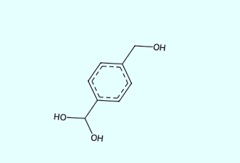 OCc1ccc(C(O)O)cc1